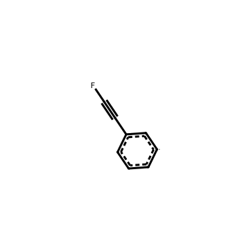 FC#Cc1c[c]ccc1